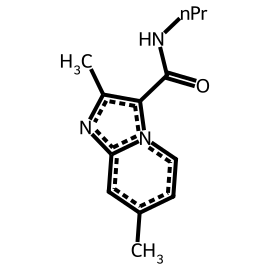 CCCNC(=O)c1c(C)nc2cc(C)ccn12